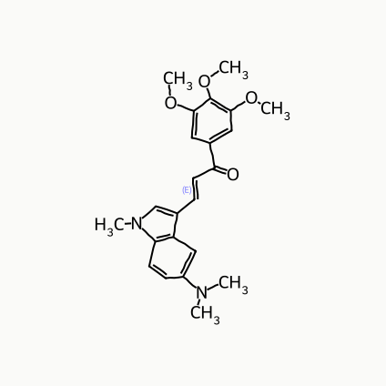 COc1cc(C(=O)/C=C/c2cn(C)c3ccc(N(C)C)cc23)cc(OC)c1OC